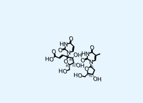 Cc1cn([C@H]2C[C@H](O)[C@@H](CO)O2)c(=O)[nH]c1=O.O=C(O)C=C[C@@]1(n2ccc(=O)[nH]c2=O)O[C@H](CO)[C@@H](O)[C@H]1O